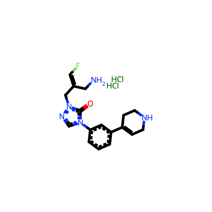 Cl.Cl.NC/C(=C\F)Cn1ncn(-c2cccc(C3=CCNCC3)c2)c1=O